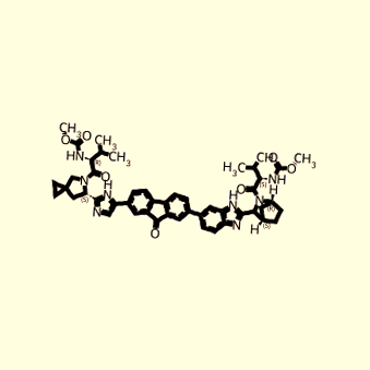 COC(=O)N[C@H](C(=O)N1C(c2nc3ccc(-c4ccc5c(c4)C(=O)c4cc(-c6cnc([C@@H]7CC8(CC8)CN7C(=O)[C@H](NC(=O)OC)C(C)C)[nH]6)ccc4-5)cc3[nH]2)[C@H]2CC[C@@H]1C2)C(C)C